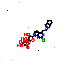 O=P(O)(O)CS(=O)(=O)C[C@H]1O[C@@H](n2ccc3c(CCN4CC5CCCC5C4)nc(Cl)nc32)[C@H](O)[C@@H]1O